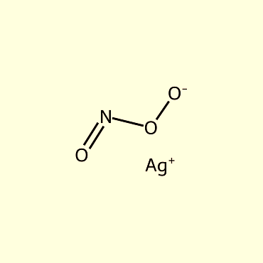 O=NO[O-].[Ag+]